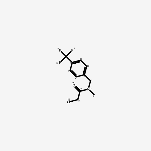 CN(Cc1ccc(C(F)(F)F)cc1)C(=O)CCl